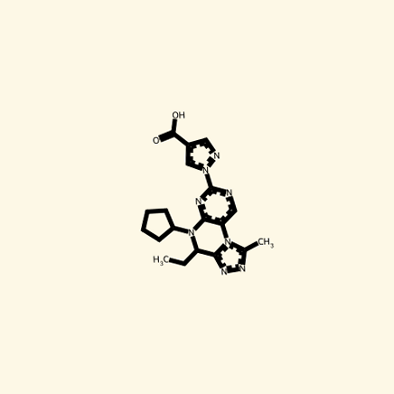 CCC1c2nnc(C)n2-c2cnc(-n3cc(C(=O)O)cn3)nc2N1C1CCCC1